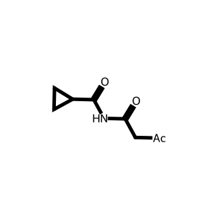 CC(=O)CC(=O)NC(=O)C1CC1